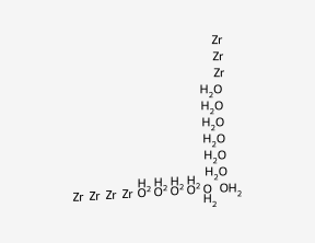 O.O.O.O.O.O.O.O.O.O.O.O.[Zr].[Zr].[Zr].[Zr].[Zr].[Zr].[Zr]